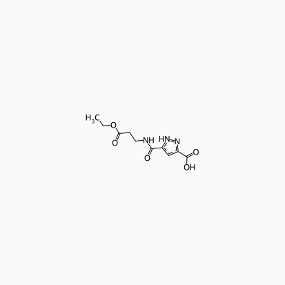 CCOC(=O)CCNC(=O)c1cc(C(=O)O)n[nH]1